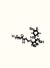 CNC(=O)NCCSc1nonc1/C(=N\O)Nc1ccc(F)c(Br)c1